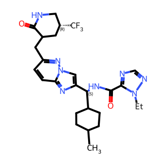 CCn1ncnc1C(=O)N[C@H](c1cn2nc(CC3C[C@@H](C(F)(F)F)CNC3=O)ccc2n1)C1CCC(C)CC1